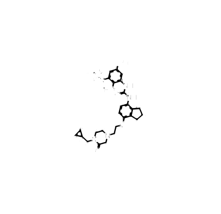 CCS(=O)(=O)Nc1cc(C(C)(C)C)cc(NC(=O)Nc2ccc(OCCN3CCN(CC4CC4)C(=O)C3)c3c2CCC3)c1O